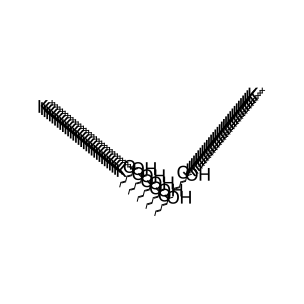 CC=CC=CC(=O)O.CC=CC=CC(=O)O.CC=CC=CC(=O)O.CC=CC=CC(=O)O.CC=CC=CC(=O)O.CC=CC=CC(=O)O.[K+].[K+].[K+].[K+].[K+].[K+].[K+].[K+].[K+].[K+].[K+].[K+].[K+].[K+].[K+].[K+].[K+].[K+].[K+].[K+].[K+].[K+].[K+].[K+].[K+].[K+].[K+].[K+].[K+].[K+].[K+].[K+].[K+].[K+].[K+].[K+].[K+].[K+].[K+].[K+].[K+].[K+].[K+].[K+].[K+].[K+].[K+].[K+].[K+].[K+].[K+].[K+].[K+].[K+].[K+].[K+].[K+].[K+].[K+].[K+].[K+]